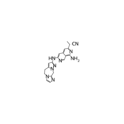 C[C@H](C#N)c1cc2cc(Nc3cc4n(n3)Cc3nccn3CC4)ncc2c(N)n1